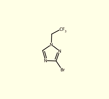 FC(F)(F)Cn1cnc(Br)n1